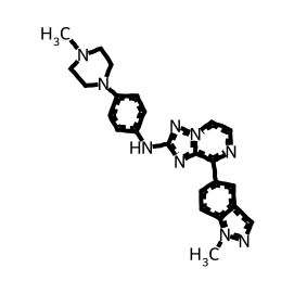 CN1CCN(c2ccc(Nc3nc4c(-c5ccc6c(cnn6C)c5)nccn4n3)cc2)CC1